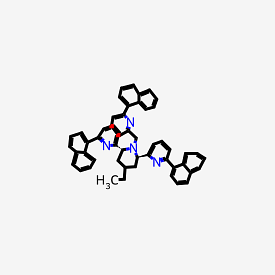 CCC1C[C@H](c2cccc(-c3cccc4ccccc34)n2)N(Cc2cccc(-c3cccc4ccccc34)n2)[C@@H](c2cccc(-c3cccc4ccccc34)n2)C1